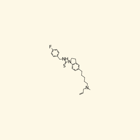 C=CCN(C)CCCCCc1ccc2c(c1)CCN2C(=S)NCc1ccc(F)cc1